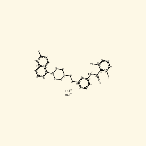 Cc1ccc2c(N3CCN(CCc4cccc(NC(=O)c5c(F)cccc5F)c4)CC3)cccc2n1.Cl.Cl